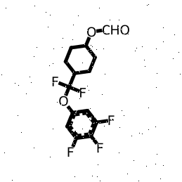 O=COC1CCC(C(F)(F)Oc2cc(F)c(F)c(F)c2)CC1